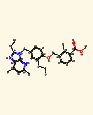 CCCc1cc(Cn2c(CC)nc3c(C)cc(C)nc32)ccc1OCc1cccc(C(=O)OC)c1C